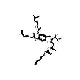 CCCCCOC(=O)OC(C)CN[C@@H](Cc1ccc(OC(=O)OCCC(C)C)c(OC(=O)OCCC(C)C)c1)C(=O)OC